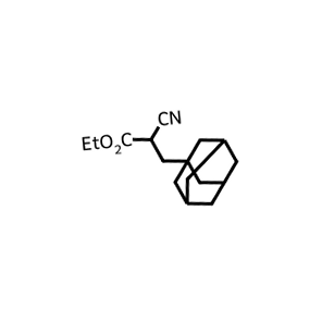 CCOC(=O)C(C#N)CC12CC3CC(CC(C3)C1)C2